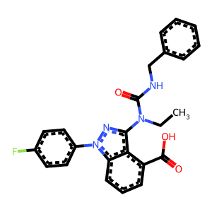 CCN(C(=O)NCc1ccccc1)c1nn(-c2ccc(F)cc2)c2cccc(C(=O)O)c12